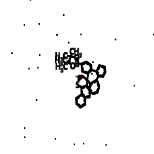 CC1(C)OB(c2ccc3c(c2)C2(c4ccccc4Sc4c2ccc2ccccc42)c2ccccc2-c2ccccc2-3)OC1(C)C